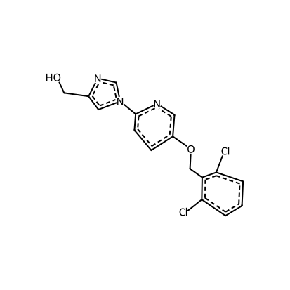 OCc1cn(-c2ccc(OCc3c(Cl)cccc3Cl)cn2)cn1